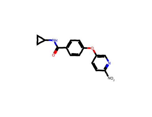 O=C(NC1CC1)c1ccc(Oc2ccc([N+](=O)[O-])nc2)cc1